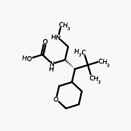 CNCC(NC(=O)O)[C@@H](C1CCCOC1)C(C)(C)C